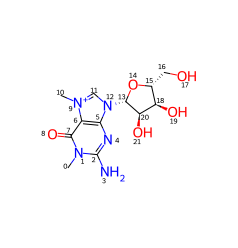 Cn1c(N)nc2c(c1=O)[n+](C)cn2[C@@H]1O[C@H](CO)[C@@H](O)[C@H]1O